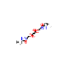 CCC(=O)NCCCOC(=O)/C=C/C(=O)OCCCNC(=O)CC